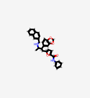 CC(NCc1ccc2ccccc2c1)C(Cc1ccc(C(=O)Nc2ccccc2)o1)c1ccc2c(c1)OCO2